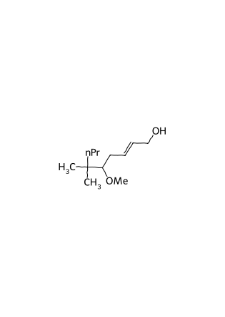 CCCC(C)(C)C(CC=CCO)OC